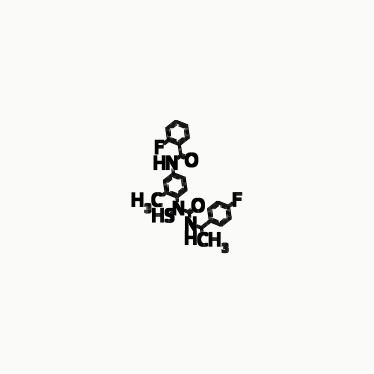 Cc1cc(NC(=O)c2ccccc2F)ccc1N(S)C(=O)NC(C)c1ccc(F)cc1